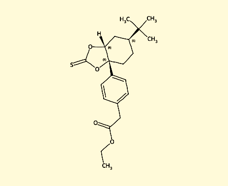 CCOC(=O)Cc1ccc([C@]23CC[C@H](C(C)(C)C)C[C@H]2OC(=S)O3)cc1